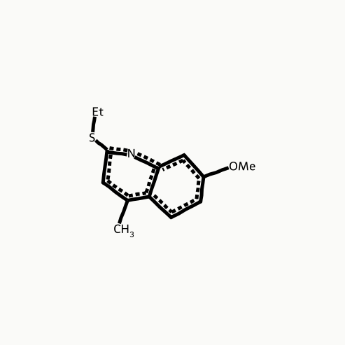 CCSc1cc(C)c2ccc(OC)cc2n1